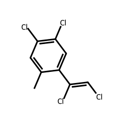 Cc1cc(Cl)c(Cl)cc1/C(Cl)=C/Cl